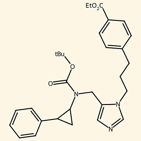 CCOC(=O)c1ccc(CCCn2cncc2CN(C(=O)OC(C)(C)C)C2CC2c2ccccc2)cc1